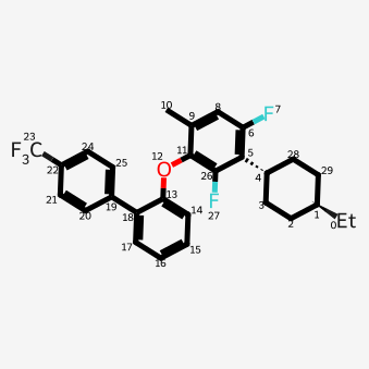 CC[C@H]1CC[C@H](c2c(F)cc(C)c(Oc3ccccc3-c3ccc(C(F)(F)F)cc3)c2F)CC1